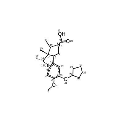 COc1ccc([C@@H]2CN(C(=O)O)C(C)[C@@]2(C)[C@@H](C)O)cc1OC1CCCC1